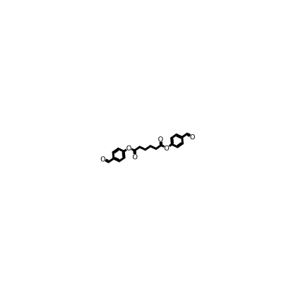 O=Cc1ccc(OC(=O)CCCCC(=O)Oc2ccc(C=O)cc2)cc1